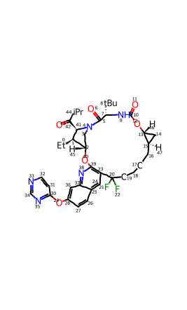 CC[C@@H]1[C@@H]2CN(C(=O)[C@H](C(C)(C)C)NC(=O)O[C@@H]3C[C@H]3CCCCC(F)(F)c3cc4ccc(Oc5ccncn5)cc4nc3O2)[C@@H]1C(=O)C(C)C